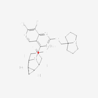 CC(C)(C)OC(=O)N1[C@@H]2CN(c3nc(OCC45CCCN4CCC5)nc4c(F)c(Cl)ncc34)C[C@H]1[C@H]1C[C@H]12